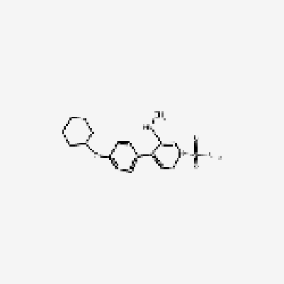 CNC1=CN(S(C)(=O)=O)CC=C1c1ccc(OC2CCCCC2)cc1